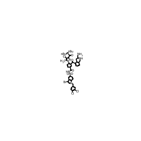 CCCCN(CCCC)C(=O)c1nn(-c2ccc(C(=O)NS(=O)(=O)c3ccc4c(c3)c(Br)cn4Cc3ccc(Cl)c(Cl)c3)cc2C(=O)c2cccc3c2CC(CN)NC3)c(C)c1Cl